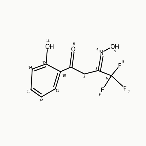 O=C(CC(=NO)C(F)(F)F)c1ccccc1O